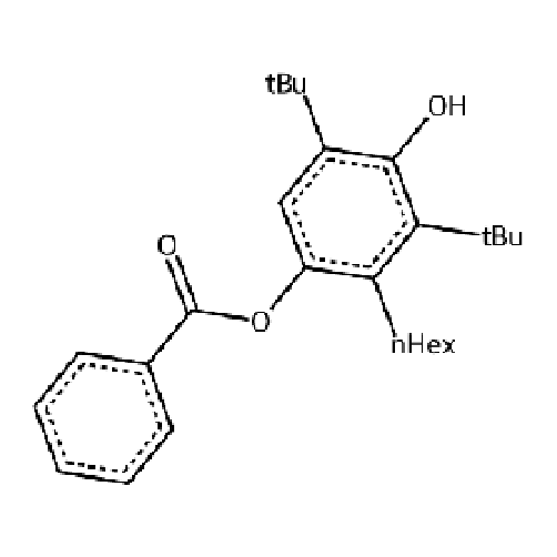 CCCCCCc1c(OC(=O)c2ccccc2)cc(C(C)(C)C)c(O)c1C(C)(C)C